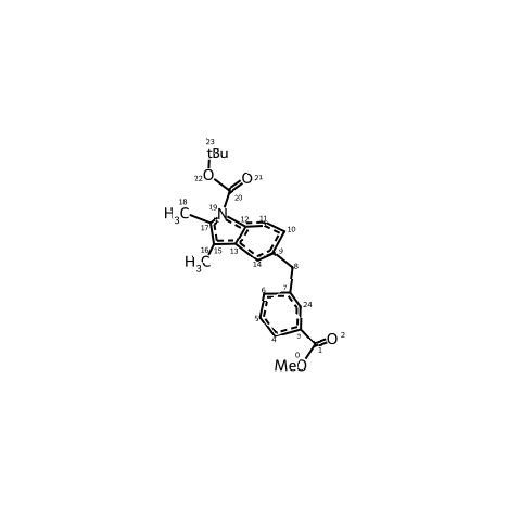 COC(=O)c1cccc(Cc2ccc3c(c2)c(C)c(C)n3C(=O)OC(C)(C)C)c1